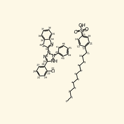 CCCCCCCCCCCCc1ccc(S(=O)(=O)O)cc1.Clc1ccccc1C1=NN(c2nc3ccccc3s2)N(c2ccccc2)N1